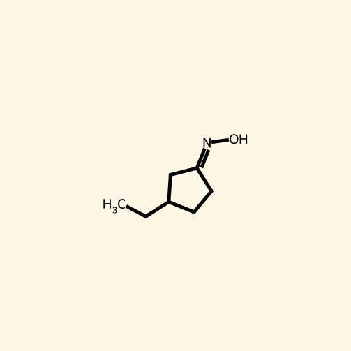 CCC1CCC(=NO)C1